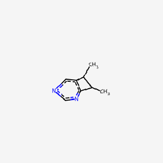 CC1c2cncnc2C1C